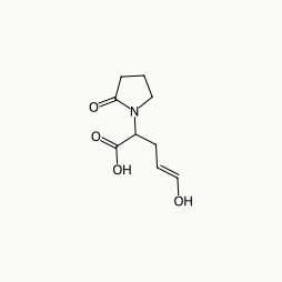 O=C(O)C(CC=CO)N1CCCC1=O